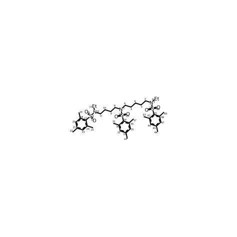 CCN(CCCCCN(CCCCN(CC)S(=O)(=O)c1c(C)cc(C)cc1C)S(=O)(=O)c1c(C)cc(C)cc1C)S(=O)(=O)c1c(C)cc(C)cc1C